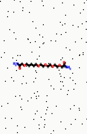 NC(=O)COCCCCCOCCOCCOCCOCC(N)=O